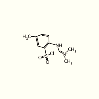 Cc1ccc(NC=[N+](C)C)c(S(=O)(=O)Cl)c1